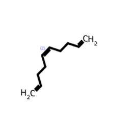 C=CCC/C=C\CCC=C